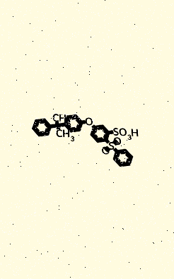 CC(C)(c1ccccc1)c1ccc(Oc2ccc(S(=O)(=O)c3ccccc3)c(S(=O)(=O)O)c2)cc1